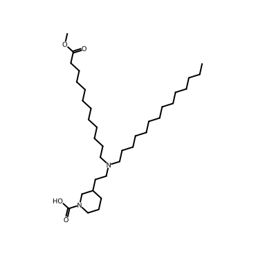 CCCCCCCCCCCCCCN(CCCCCCCCCCCC(=O)OC)CCC1CCCN(C(=O)O)C1